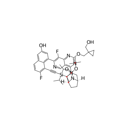 CC(C)[Si](C#Cc1c(F)ccc2cc(O)cc(-c3ncc4c(N5C[C@H]6CC[C@@H](C5)N6C(=O)OC(C)(C)C)nc(OCC5(CO)CC5)nc4c3F)c12)(C(C)C)C(C)C